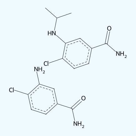 CC(C)Nc1cc(C(N)=O)ccc1Cl.NC(=O)c1ccc(Cl)c(N)c1